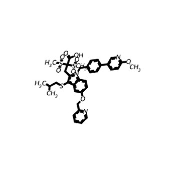 COc1ccc(-c2ccc(Cn3c(CC(C(=O)O)(S(C)(=O)=O)S(C)(=O)=O)c(SCC(C)C)c4cc(OCc5ccccn5)ccc43)cc2)cn1